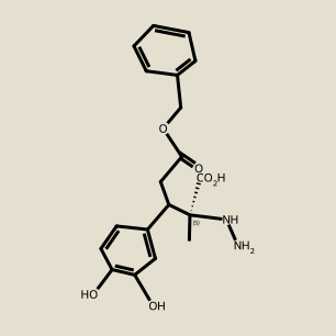 C[C@@](NN)(C(=O)O)C(CC(=O)OCc1ccccc1)c1ccc(O)c(O)c1